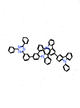 C1=CC(c2nc(-c3ccccc3)nc(-c3cccc(-c4ccc(-n5c6ccccc6c6ccccc65)c(-c5cccc(-n6c7ccccc7c7cc(-c8ccc9c(c8)c8ccccc8n9-c8ccccc8)ccc76)c5)c4)c3)n2)=CCC1